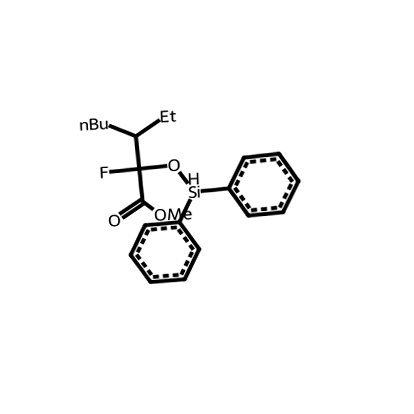 CCCCC(CC)C(F)(O[SiH](c1ccccc1)c1ccccc1)C(=O)OC